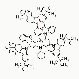 CC(C)(C)c1ccc2c(c1)c1cc(C(C)(C)C)ccc1n2-c1ccc2c(c1)N(c1ccccc1-c1ccccc1)c1cc(-n3c4ccc(C(C)(C)C)cc4c4cc(C(C)(C)C)ccc43)cc3c1B2c1c(cc(-n2c4ccc(C(C)(C)C)cc4c4cc(C(C)(C)C)ccc42)c2c1oc1ccccc12)N3c1ccccc1-c1ccccc1